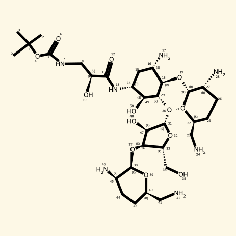 CC(C)(C)OC(=O)NC[C@H](O)C(=O)N[C@@H]1C[C@H](N)[C@@H](O[C@H]2O[C@H](CN)CC[C@H]2N)[C@H](O[C@@H]2O[C@H](CO)[C@@H](O[C@H]3O[C@@H](CN)CC[C@H]3N)[C@H]2O)[C@H]1O